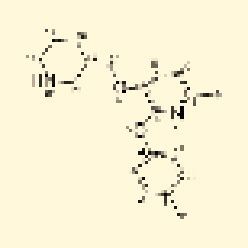 Cc1ccc(Oc2nc(C)ccc2OCC2CCCNC2)cc1